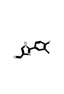 Cc1cc(-c2nc(C=O)c[nH]2)ccc1F